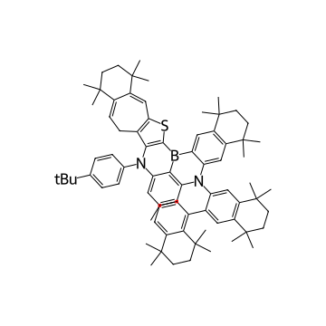 Cc1cc2c3c(c1)N(c1ccc(C(C)(C)C)cc1)c1c(sc4c1CC=C1C(=C4)C(C)(C)CCC1(C)C)B3c1cc3c(cc1N2c1cc2c(cc1-c1cccc4c1C(C)(C)CCC4(C)C)C(C)(C)CCC2(C)C)C(C)(C)CCC3(C)C